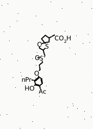 CCCc1c(OCCC[S+]([O-])CC2COC3(CCC(CC(=O)O)C3)S2)ccc(C(C)=O)c1O